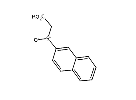 O=C(O)C[S+]([O-])c1ccc2ccccc2c1